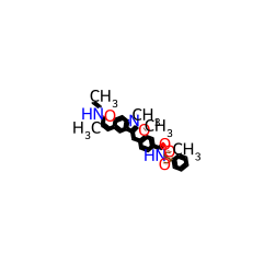 CCCNC(=O)/C(C)=C\c1ccc2c(c1)c(Cc1ccc(C(=O)NS(=O)(=O)c3ccccc3C)cc1OC)cn2C